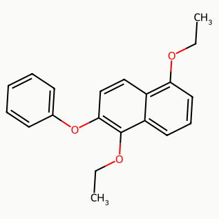 CCOc1cccc2c(OCC)c(Oc3ccccc3)ccc12